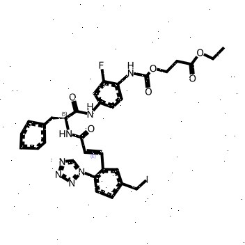 CCOC(=O)CCOC(=O)Nc1ccc(NC(=O)[C@H](Cc2ccccc2)NC(=O)/C=C/c2cc(CI)ccc2-n2cnnn2)cc1F